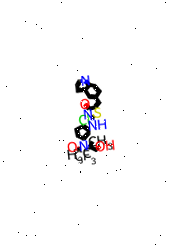 CC(C)(CO)N(C(=O)C(F)(F)F)c1ccc(Cl)c(NC2=NC(=O)C(=Cc3ccc4ncccc4c3)S2)c1